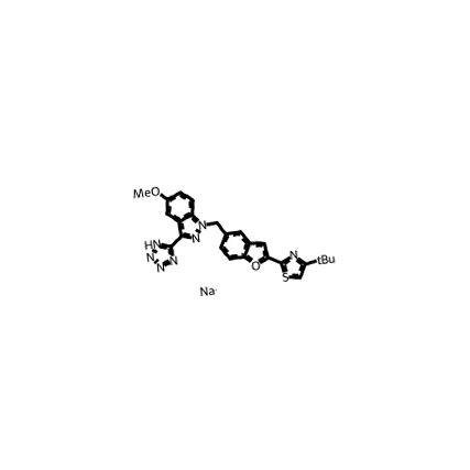 COc1ccc2c(c1)c(-c1nnn[nH]1)nn2Cc1ccc2oc(-c3nc(C(C)(C)C)cs3)cc2c1.[Na]